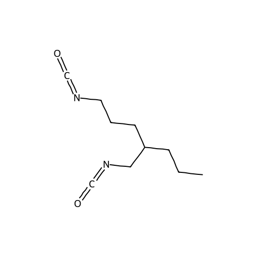 CCCC(CCCN=C=O)CN=C=O